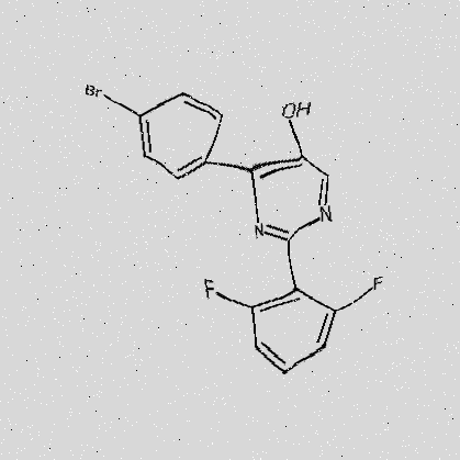 Oc1cnc(-c2c(F)cccc2F)nc1-c1ccc(Br)cc1